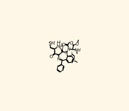 CN[C@](CCSC)(C(=O)OC)N(C(C)=O)N1C(=O)C(C(=O)C(N)CS)N=C(c2ccccc2)c2ccccc21